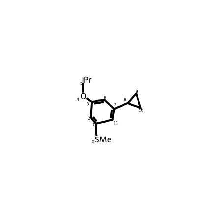 CSc1cc(OC(C)C)cc(C2CC2)c1